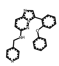 c1ccc(Oc2ccccc2-c2cnc3ccc(NCc4ccncc4)nn23)cc1